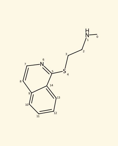 CNCCSc1nccc2ccccc12